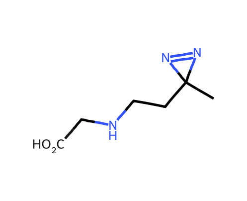 CC1(CCNCC(=O)O)N=N1